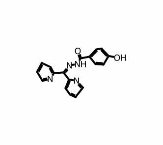 O=C(NN=C(c1ccccn1)c1ccccn1)c1ccc(O)cc1